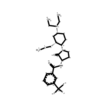 CCC[C@@H]1C[C@H](N(CC)CC)CC[C@@H]1N1CC[C@H](NC(=O)c2cccc(C(F)(F)F)c2)C1=O